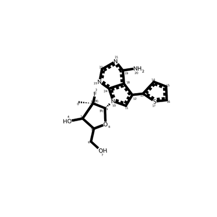 C[C@@]1(F)C(O)C(CO)O[C@H]1n1cc(-c2cccs2)c2c(N)ncnc21